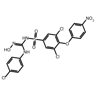 O=[N+]([O-])c1ccc(Oc2c(Cl)cc(S(=O)(=O)NC(=NO)Nc3ccc(Cl)cc3)cc2Cl)cc1